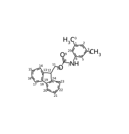 Cc1cc(C)cc(NC(=O)OCC2c3ccccc3-c3ccccc32)c1